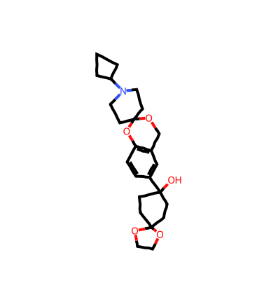 OC1(c2ccc3c(c2)COC2(CCN(C4CCC4)CC2)O3)CCC2(CC1)OCCO2